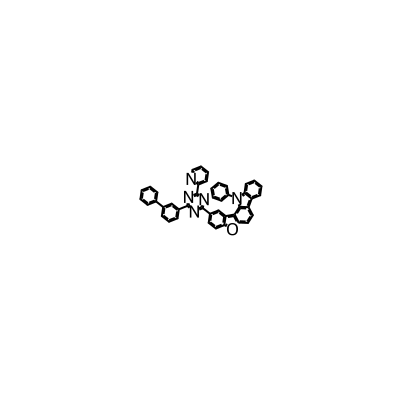 c1ccc(-c2cccc(-c3nc(-c4ccc5oc6ccc7c8ccccc8n(-c8ccccc8)c7c6c5c4)nc(-c4ccccn4)n3)c2)cc1